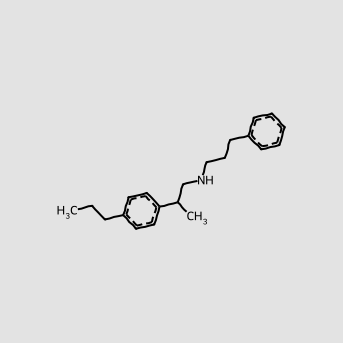 CCCc1ccc(C(C)CNCCCc2ccccc2)cc1